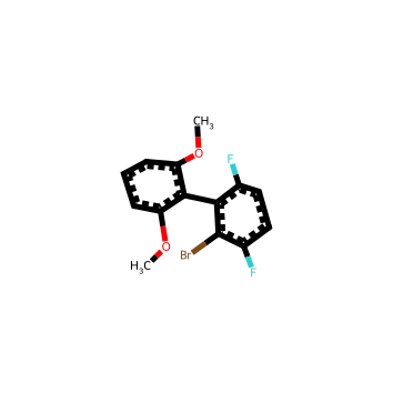 COc1cccc(OC)c1-c1c(F)ccc(F)c1Br